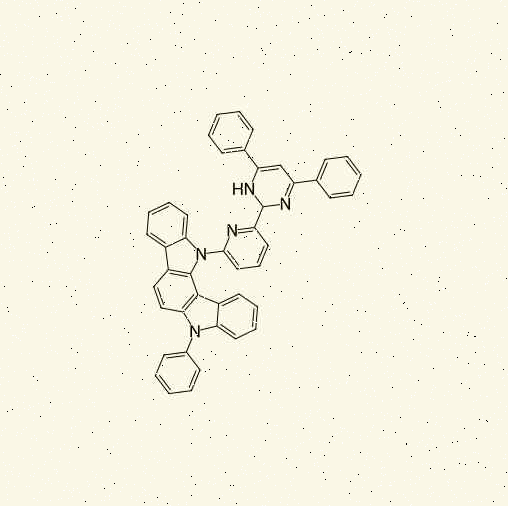 C1=C(c2ccccc2)NC(c2cccc(-n3c4ccccc4c4ccc5c(c6ccccc6n5-c5ccccc5)c43)n2)N=C1c1ccccc1